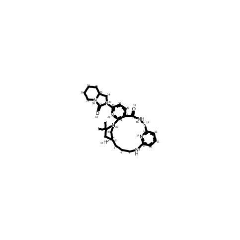 CC1(C)C[C@@H]2CCCNc3cccc(n3)SNC(=O)c3ccc(N4CC5CCCCN5C4=O)nc3N1C2